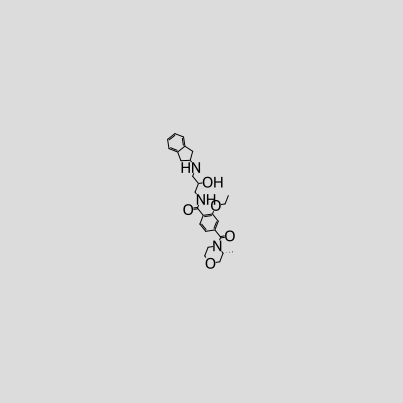 CCOc1cc(C(=O)N2CCOC[C@H]2C)ccc1C(=O)NCC(O)CNC1Cc2ccccc2C1